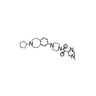 Cn1cnc(S(=O)(=O)N2CCN(c3ccc4c(c3)CCN(C3CCCC3)CC4)CC2)c1